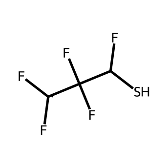 F[C](F)C(F)(F)C(F)S